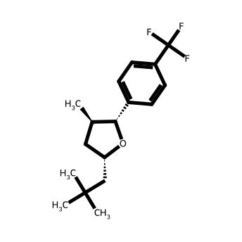 C[C@@H]1C[C@@H](CC(C)(C)C)O[C@H]1c1ccc(C(F)(F)F)cc1